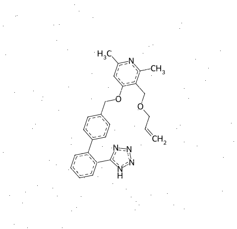 C=CCOCc1c(OCc2ccc(-c3ccccc3-c3nnn[nH]3)cc2)cc(C)nc1C